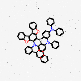 c1ccc(-c2cc3c4c(c2)N(c2ccccc2-c2ccccc2)c2c(c5oc6ccccc6c5c5c2oc2ccccc25)B4c2ccc(N(c4ccccc4)c4ccccc4)cc2N3c2ccccc2)cc1